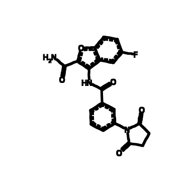 NC(=O)c1oc2ccc(F)cc2c1NC(=O)c1cccc(N2C(=O)CCC2=O)c1